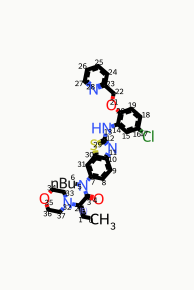 C/C=C(\C(=O)N(CCCC)c1ccc2nc(Nc3cc(Cl)ccc3OCc3ccccn3)sc2c1)N1CCOCC1